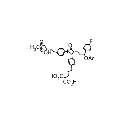 CC(=O)O[C@@H](CC[C@H]1C(=O)N(c2ccc(CCC(O)CS(C)(=O)=O)cc2)[C@@H]1c1ccc(CCCC(C(=O)O)C(=O)O)cc1)c1ccc(F)cc1